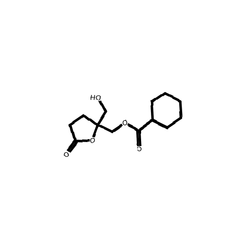 O=C1CCC(CO)(COC(=O)C2CCCCC2)O1